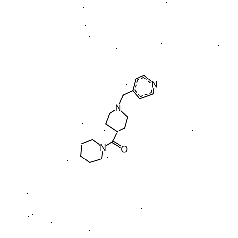 O=C(C1CCN(Cc2ccncc2)CC1)N1CCCCC1